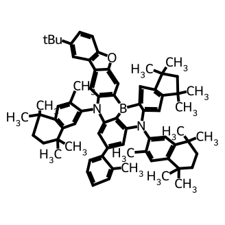 Cc1ccccc1-c1cc2c3c(c1)N(c1cc4c(cc1C)C(C)(C)CCC4(C)C)c1cc4c(cc1B3c1cc3c(cc1N2c1cc2c(cc1C)C(C)(C)CCC2(C)C)C(C)(C)CC3(C)C)oc1ccc(C(C)(C)C)cc14